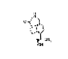 CC(=NO)c1ccc2c3c1ccn3C(=O)CNC2